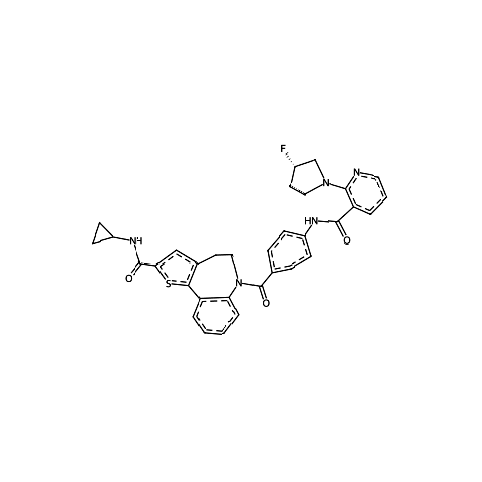 O=C(NC1CC1)c1cc2c(s1)-c1ccccc1N(C(=O)c1ccc(NC(=O)c3cccnc3N3CC[C@H](F)C3)cc1)CC2